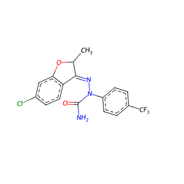 CC1Oc2cc(Cl)ccc2/C1=N\N(C(N)=O)c1ccc(C(F)(F)F)cc1